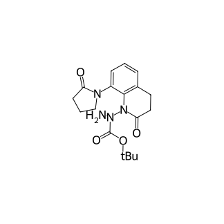 CC(C)(C)OC(=O)N(N)N1C(=O)CCc2cccc(N3CCCC3=O)c21